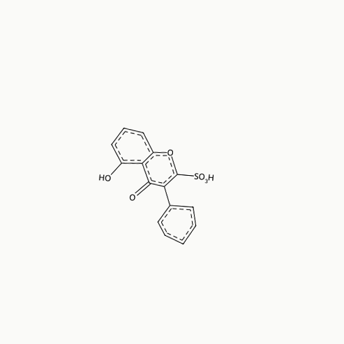 O=c1c(-c2ccccc2)c(S(=O)(=O)O)oc2cccc(O)c12